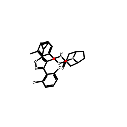 Cc1cccc(CNC(=O)N2C3CCC2CC(OCc2c(-c4c(Cl)cccc4Cl)noc2C2CC2)C3)c1